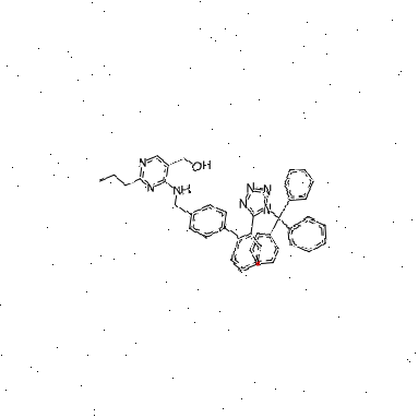 CCCc1ncc(CO)c(NCc2ccc(-c3ccccc3-c3nnnn3C(c3ccccc3)(c3ccccc3)c3ccccc3)cc2)n1